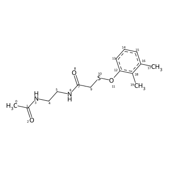 CC(=O)NCCNC(=O)CSOc1cccc(C)c1C